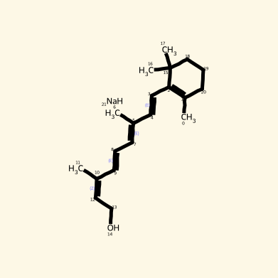 CC1=C(/C=C/C(C)=C/C=C/C(C)=C\CO)C(C)(C)CCC1.[NaH]